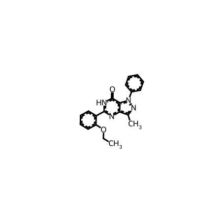 CCOc1ccccc1-c1nc2c(C)nn(-c3ccccc3)c2c(=O)[nH]1